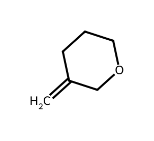 C=C1CCCOC1